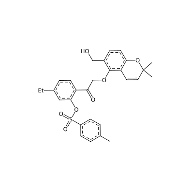 CCc1ccc(C(=O)COc2c(CO)ccc3c2C=CC(C)(C)O3)c(OS(=O)(=O)c2ccc(C)cc2)c1